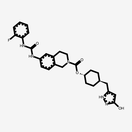 O=C(Nc1ccc2c(c1)CCN(C(=O)O[C@H]1CC[C@H](Cc3cc(O)n[nH]3)CC1)C2)Nc1ccccc1F